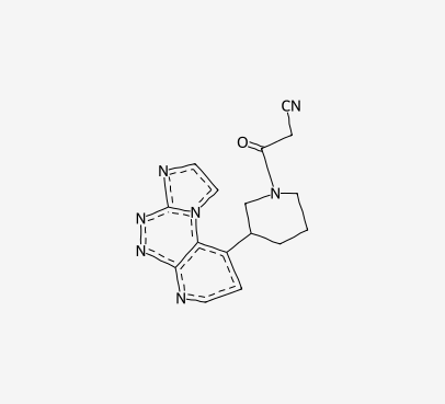 N#CCC(=O)N1CCCC(c2ccnc3nnc4nccn4c23)C1